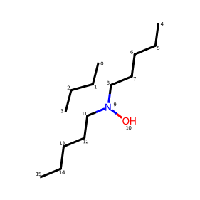 CCCC.CCCCCN(O)CCCCC